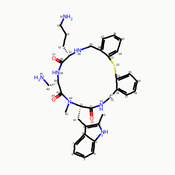 Cc1[nH]c2ccccc2c1C[C@H]1C(=O)NCc2ccccc2Sc2ccccc2CN[C@@H](CCCN)C(=O)N[C@@H](CN)C(=O)N1C